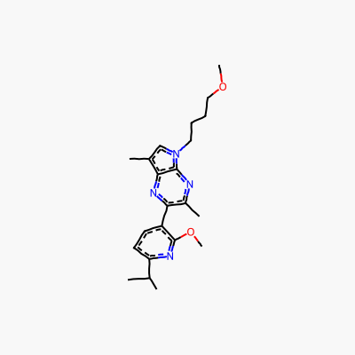 COCCCCn1cc(C)c2nc(-c3ccc(C(C)C)nc3OC)c(C)nc21